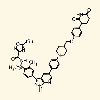 Cc1cc(-c2n[nH]c3ncc(-c4ccc(N5CCC(COc6ccc(C7CCC(=O)NC7=O)cc6)CC5)cc4)cc23)ccc1[C@@H](C)NC(=O)c1noc(C(C)(C)C)n1